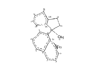 OC1(c2cccc3cccnc23)CCc2ccccc21